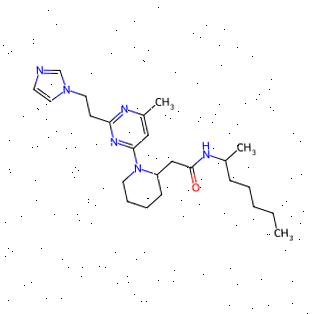 CCCCCC(C)NC(=O)CC1CCCCN1c1cc(C)nc(CCn2ccnc2)n1